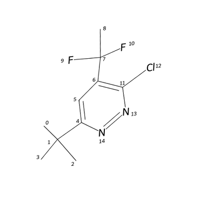 CC(C)(C)c1cc(C(C)(F)F)c(Cl)nn1